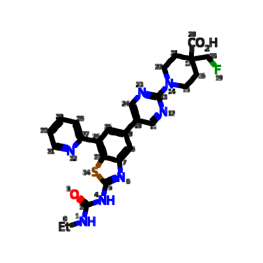 CCNC(=O)Nc1nc2cc(-c3cnc(N4CCC(CF)(C(=O)O)CC4)nc3)cc(-c3ccccn3)c2s1